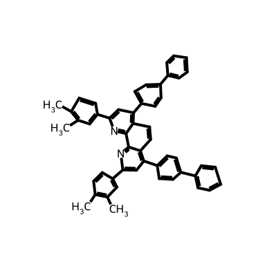 Cc1ccc(-c2cc(-c3ccc(-c4ccccc4)cc3)c3ccc4c(-c5ccc(-c6ccccc6)cc5)cc(-c5ccc(C)c(C)c5)nc4c3n2)cc1C